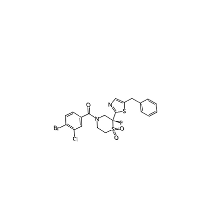 O=C(c1ccc(Br)c(Cl)c1)N1CCS(=O)(=O)[C@@](F)(c2ncc(Cc3ccccc3)s2)C1